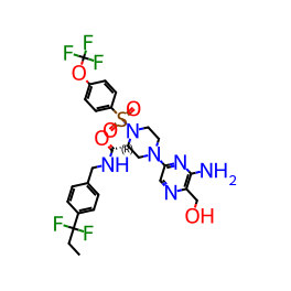 CCC(F)(F)c1ccc(CNC(=O)[C@H]2CN(c3cnc(CO)c(N)n3)CCN2S(=O)(=O)c2ccc(OC(F)(F)F)cc2)cc1